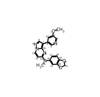 COc1cncc(-c2cnn3ccc(N(C)c4ccc5c(c4)OCO5)nc23)c1